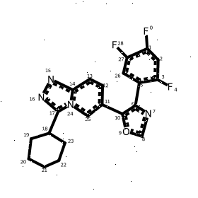 Fc1cc(F)c(-c2ncoc2-c2ccc3nnc(C4CCCCC4)n3c2)cc1F